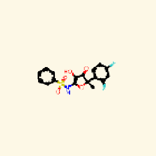 CC1(c2ccc(F)cc2F)OC(NS(=O)(=O)c2ccccc2)=C(O)C1=O